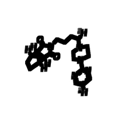 [2H]c1cnc(N2CCN(C([2H])CCCN3C(=O)[C@@H]4[C@@H]5CC[C@@H](C5)[C@@H]4C3=O)CC2)nc1